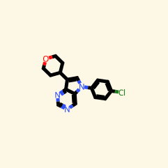 Clc1ccc(-n2cc(C3CCOCC3)c3ncncc32)cc1